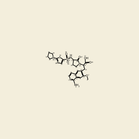 COc1cc2c(N)nccc2cc1CC(C(=O)O)N1CCC(NS(=O)(=O)c2cnc(N3CCCC3)s2)C1=O